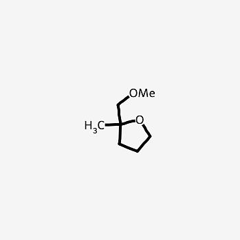 COCC1(C)CCCO1